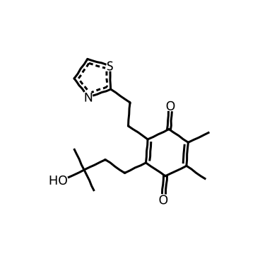 CC1=C(C)C(=O)C(CCC(C)(C)O)=C(CCc2nccs2)C1=O